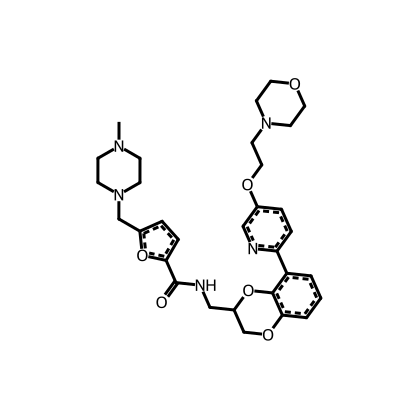 CN1CCN(Cc2ccc(C(=O)NCC3COc4cccc(-c5ccc(OCCN6CCOCC6)cn5)c4O3)o2)CC1